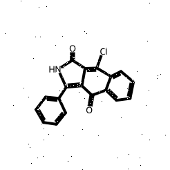 O=C1NC(c2ccccc2)=C2C(=O)c3ccccc3C(Cl)=C12